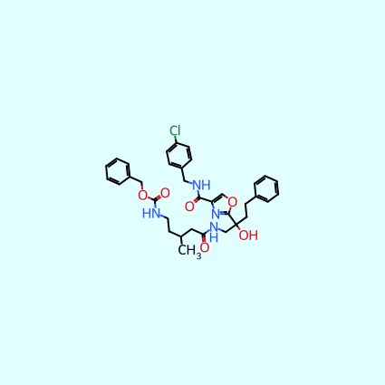 CC(CCNC(=O)OCc1ccccc1)CC(=O)NCC(O)(CCc1ccccc1)c1nc(C(=O)NCc2ccc(Cl)cc2)co1